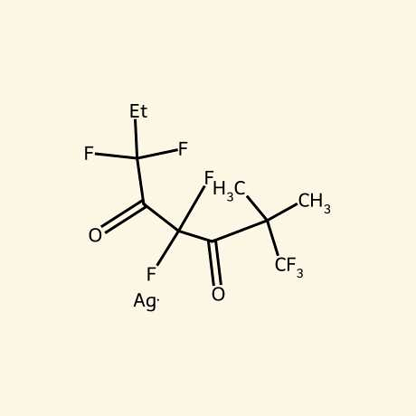 CCC(F)(F)C(=O)C(F)(F)C(=O)C(C)(C)C(F)(F)F.[Ag]